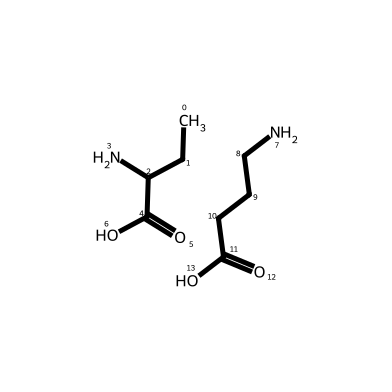 CCC(N)C(=O)O.NCCCC(=O)O